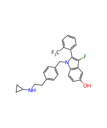 Oc1ccc2c(c1)c(F)c(-c1ccccc1C(F)(F)F)n2Cc1ccc(CCNC2CC2)cc1